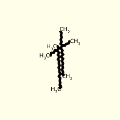 C=CCCCCCCCCCCCC(C(=CCCCC)CCCCCCC=C)=C(CC)C(CCCCC)CCCCCCCCCCCCCCCC=CC